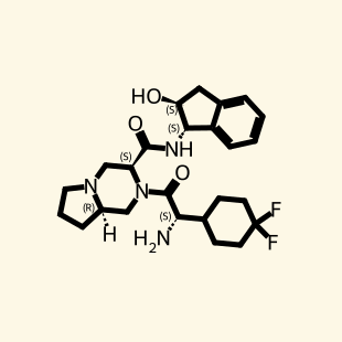 N[C@H](C(=O)N1C[C@H]2CCCN2C[C@H]1C(=O)N[C@H]1c2ccccc2C[C@@H]1O)C1CCC(F)(F)CC1